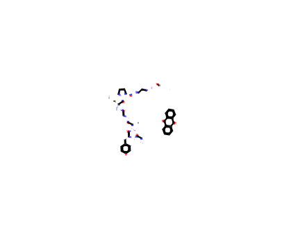 CCC[C@H](NC(=O)[C@H](Cc1ccc(O)cc1)NC(=O)[C@H](C)N)C(=O)NCC(=O)N[C@@H](CC(C)C)C(=O)N1CCC[C@H]1C(=O)NCCCNOC(=O)C(F)(F)F.O=C1c2ccccc2C(=O)c2ccccc21